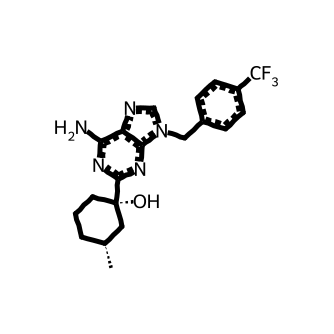 C[C@@H]1CCC[C@@](O)(c2nc(N)c3ncn(Cc4ccc(C(F)(F)F)cc4)c3n2)C1